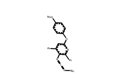 COc1ccc(Oc2cc(C(C)C)c(N=C=NC(C)(C)C)c(C(C)C)n2)cc1